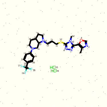 Cc1ncoc1-c1nnc(SCCCN2CCC3CCN(c4ccc(C(F)(F)F)cc4)CC32)n1C.Cl.Cl